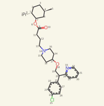 CC(C)[C@@H]1CC[C@@H](C)C[C@H]1OC(=O)CCCN1CCC(OCC(c2ccc(Cl)cc2)c2ccccn2)CC1